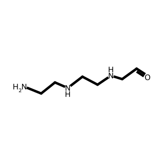 NCCNCCNCC=O